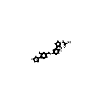 Cc1cc(COc2ccc3[nH]c4c(c3c2)CC[C@@H]4CC(=O)O)ccc1C1CCCC1